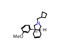 COc1cccc([C@]23CC=CC[C@@H]2CN(CC2CCC2)C3)c1